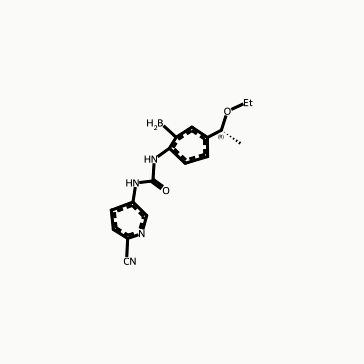 Bc1cc([C@@H](C)OCC)ccc1NC(=O)Nc1ccc(C#N)nc1